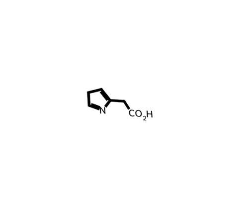 O=C(O)CC1=CCC=N1